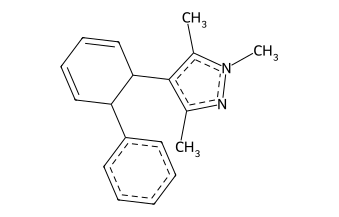 Cc1nn(C)c(C)c1C1C=CC=CC1c1ccccc1